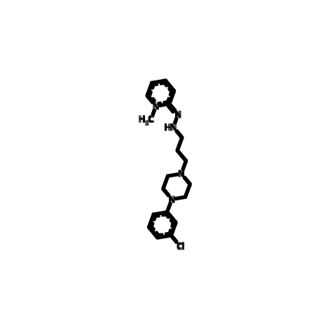 Cn1cccc/c1=N/NCCCN1CCN(c2cccc(Cl)c2)CC1